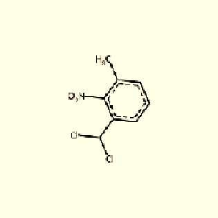 Cc1cccc(C(Cl)Cl)c1[N+](=O)[O-]